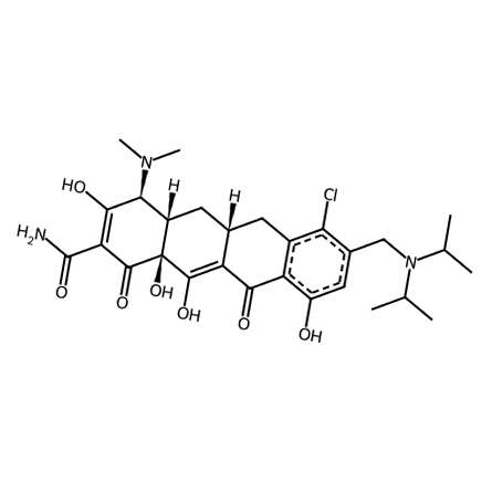 CC(C)N(Cc1cc(O)c2c(c1Cl)C[C@H]1C[C@H]3[C@H](N(C)C)C(O)=C(C(N)=O)C(=O)[C@@]3(O)C(O)=C1C2=O)C(C)C